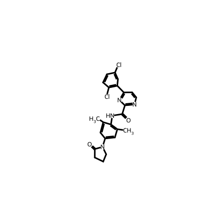 Cc1cc(N2CCCC2=O)cc(C)c1NC(=O)c1nccc(-c2cc(Cl)ccc2Cl)n1